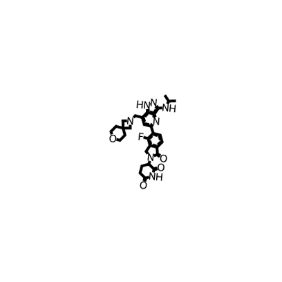 CC(C)Nc1n[nH]c2c(CN3CC4(CCOCC4)C3)cc(-c3ccc4c(c3F)CN(C3CCC(=O)NC3=O)C4=O)nc12